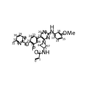 C=CC(=O)NC1CN(c2nc(Nc3cccc(OC)c3)ncc2-c2ccc(Oc3nccc(C)n3)c(F)c2)C1